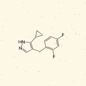 Fc1ccc([CH]c2cn[nH]c2C2CC2)c(F)c1